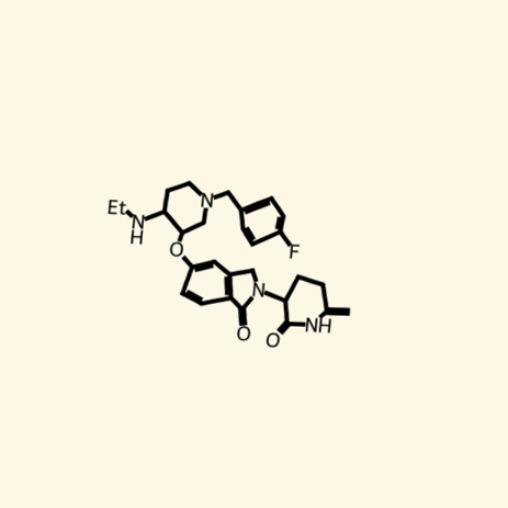 C=C1CCC(N2Cc3cc(OC4CN(Cc5ccc(F)cc5)CCC4NCC)ccc3C2=O)C(=O)N1